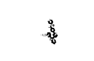 Cc1cccc(-c2nc3ccccn3c2-c2ccnc(-c3ccc(C(=O)NC4CCOCC4)cc3)c2)n1